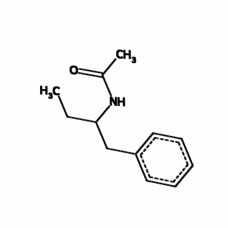 CCC(Cc1ccccc1)NC(C)=O